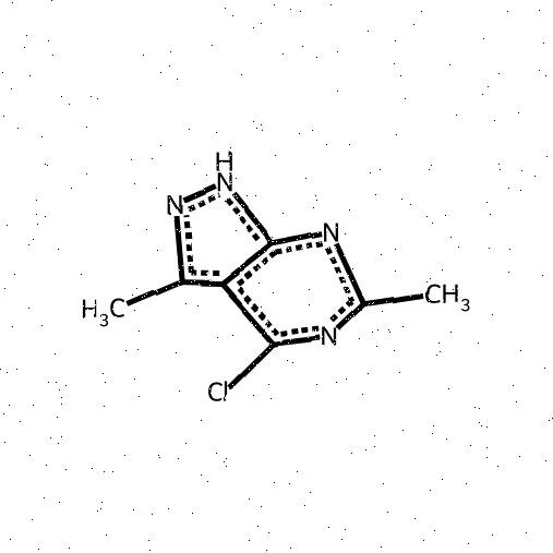 Cc1nc(Cl)c2c(C)n[nH]c2n1